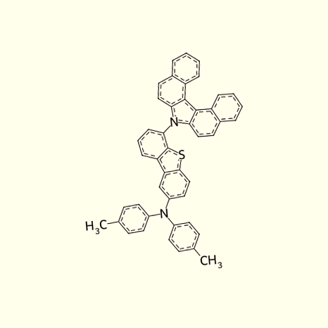 Cc1ccc(N(c2ccc(C)cc2)c2ccc3sc4c(-n5c6ccc7ccccc7c6c6c7ccccc7ccc65)cccc4c3c2)cc1